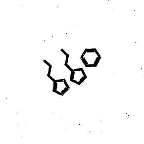 CCCC1=CC=CC1.CCCC1=CC=CC1.c1ccccc1